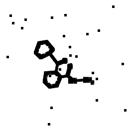 NNC(=O)c1ccccc1C(=O)c1ccccc1